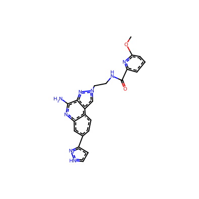 COc1cccc(C(=O)NCCn2cc3c(n2)c(N)nc2cc(-c4cc[nH]n4)ccc23)n1